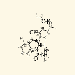 CCO/N=C(/C)c1ccc(OCc2c(C)cccc2N(N)C(=O)N(C)N)c(Cl)c1